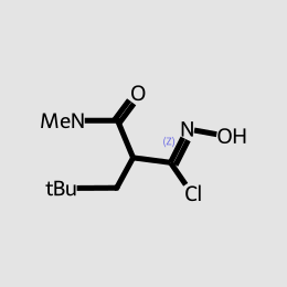 CNC(=O)C(CC(C)(C)C)/C(Cl)=N/O